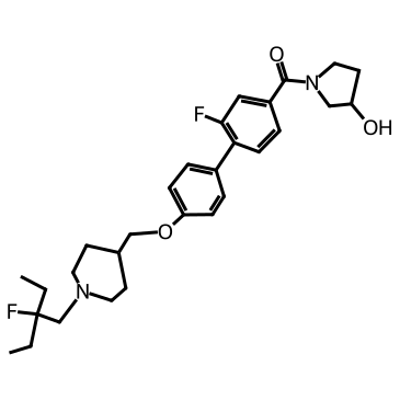 CCC(F)(CC)CN1CCC(COc2ccc(-c3ccc(C(=O)N4CCC(O)C4)cc3F)cc2)CC1